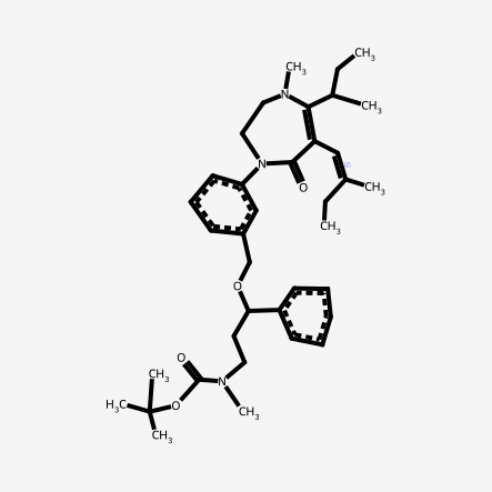 CC/C(C)=C\C1=C(C(C)CC)N(C)CCN(c2cccc(COC(CCN(C)C(=O)OC(C)(C)C)c3ccccc3)c2)C1=O